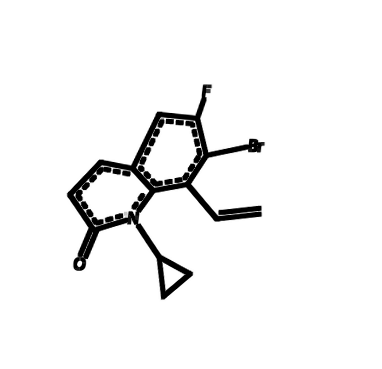 C=Cc1c(Br)c(F)cc2ccc(=O)n(C3CC3)c12